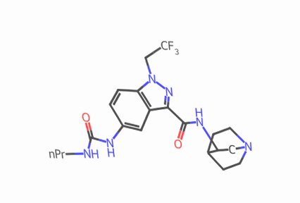 CCCNC(=O)Nc1ccc2c(c1)c(C(=O)NC1CN3CCC1CC3)nn2CC(F)(F)F